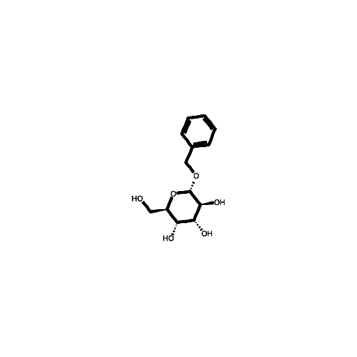 OC[C@H]1O[C@H](OCc2ccccc2)[C@@H](O)[C@H](O)[C@@H]1O